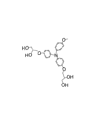 COc1ccc(N(c2ccc(OCC(O)CO)cc2)c2ccc(OCC(O)CO)cc2)cc1